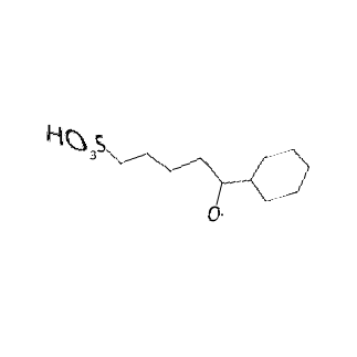 [O]C(CCCCS(=O)(=O)O)C1CCCCC1